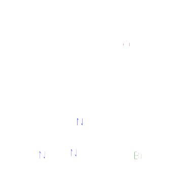 Brc1ccc2oc3ccccc3c2c1.c1cnnnc1